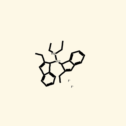 CCC1=Cc2ccccc2[CH]1[Zr+2]([CH]1C(CC)=Cc2ccccc21)[SiH](CC)CC.[F-].[F-]